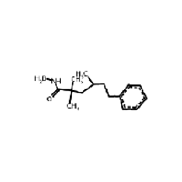 BNC(=O)C(C)(C)CC(C)CCc1ccccc1